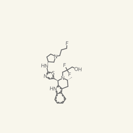 C[C@@H]1Cc2c([nH]c3ccccc23)[C@@H](c2cnc(N[C@@H]3CCN(CCCF)C3)s2)N1CC(F)(F)CO